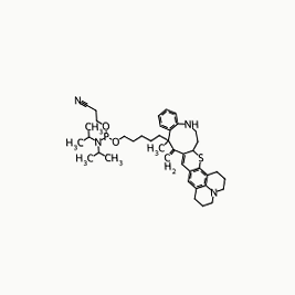 C=C1C2=Cc3cc4c5c(c3SC2CCNc2ccccc2C1(C)CCCCCOP(OCCC#N)N(C(C)C)C(C)C)CCCN5CCC4